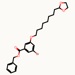 O=C(OCc1ccccc1)c1cc(Br)cc(OCCCCCCCCC2OCCO2)c1